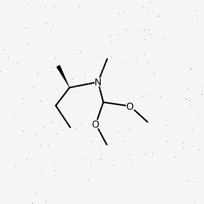 CC[C@@H](C)N(C)C(OC)OC